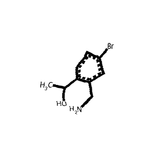 CC(O)c1ccc(Br)cc1CN